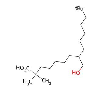 CC(C)(C)CCCCCC(CO)CCCCCC(C)(C)C(=O)O